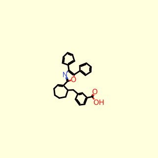 O=C(O)c1cccc(CC2CCCCC=C2c2nc(-c3ccccc3)c(-c3ccccc3)o2)c1